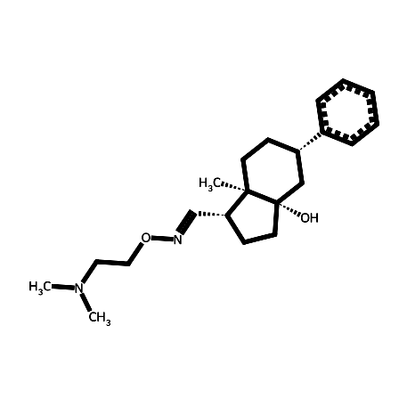 CN(C)CCON=C[C@H]1CC[C@]2(O)C[C@@H](c3ccccc3)CC[C@]12C